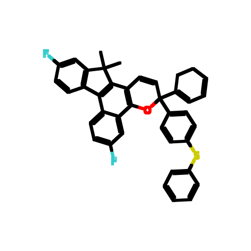 CC1(C)c2cc(F)ccc2-c2c1c1c(c3cc(F)ccc23)OC(C2=CC=CCC2)(c2ccc(Sc3ccccc3)cc2)C=C1